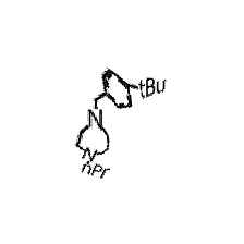 CCCN1CCN(Cc2ccc(C(C)(C)C)cc2)CC1